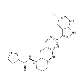 O=C(N[C@@H]1CCC[C@H](Nc2nc(C3=CNC4NC=C(Cl)C=C34)ncc2F)C1)C1CCOC1